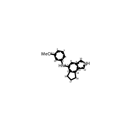 COc1cccc(Nc2cc3c[nH]cc3c3c2CCC3)c1